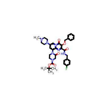 CN1CCN(c2cc(N3CCN(C(=O)OC(C)(C)C)CC3=O)c3nc(C(=O)NCc4ccc(F)cc4)c(OCc4ccccc4)c(=O)n3c2)CC1